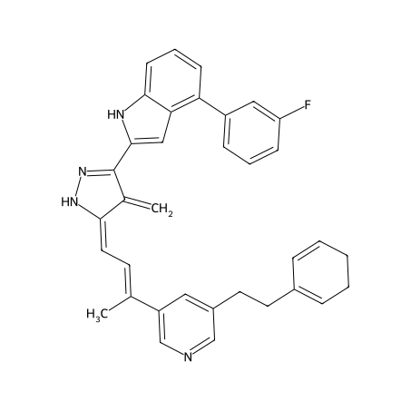 C=c1c(-c2cc3c(-c4cccc(F)c4)cccc3[nH]2)n[nH]/c1=C/C=C(\C)c1cncc(CCC2=CCCC=C2)c1